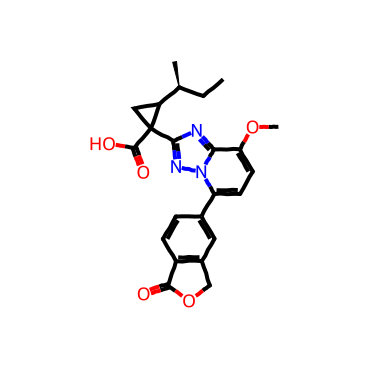 CC[C@H](C)C1CC1(C(=O)O)c1nc2c(OC)ccc(-c3ccc4c(c3)COC4=O)n2n1